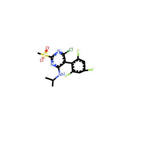 CC(C)Nc1nc(S(C)(=O)=O)nc(Cl)c1-c1c(F)cc(F)cc1F